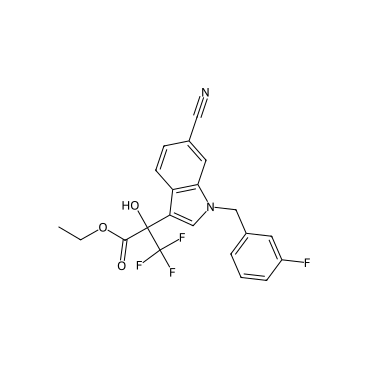 CCOC(=O)C(O)(c1cn(Cc2cccc(F)c2)c2cc(C#N)ccc12)C(F)(F)F